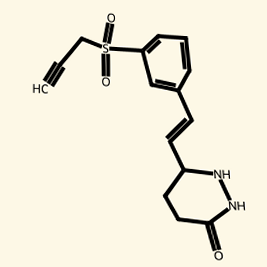 C#CCS(=O)(=O)c1cccc(/C=C/C2CCC(=O)NN2)c1